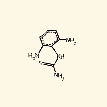 NC(=S)Nc1c(N)cccc1N